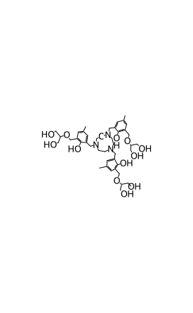 Cc1cc(COC(CO)CO)c(O)c(CN2CCN(Cc3cc(C)cc(COC(CO)CO)c3O)CCN(Cc3cc(C)cc(COC(CO)CO)c3O)CC2)c1